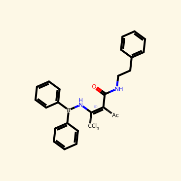 CC(=O)/C(C(=O)NCCc1ccccc1)=C(/NB(c1ccccc1)c1ccccc1)C(Cl)(Cl)Cl